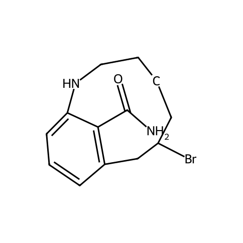 NC(=O)c1c2cccc1NCCCCC(Br)C2